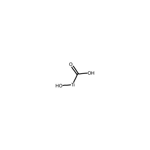 O=[C](O)[Ti][OH]